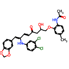 CC(=O)Nc1ccc(C)cc1OCC(O)CC(=O)C=CC(=Cc1ccc2c(c1)OCO2)Nc1ccc(Cl)c(Cl)c1